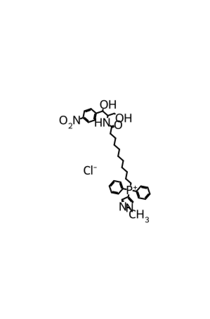 Cn1cc([P+](CCCCCCCCCCC(=O)NC(CO)C(O)c2ccc([N+](=O)[O-])cc2)(c2ccccc2)c2ccccc2)cn1.[Cl-]